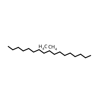 C.C.CCCCCCCCCCCCCCCCC